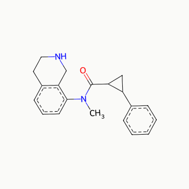 CN(C(=O)C1CC1c1ccccc1)c1cccc2c1CNCC2